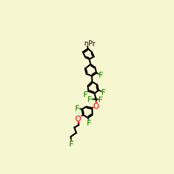 CCCc1ccc(-c2ccc(-c3cc(F)c(C(F)(F)Oc4cc(F)c(OCCCCF)c(F)c4)c(F)c3)c(F)c2)cc1